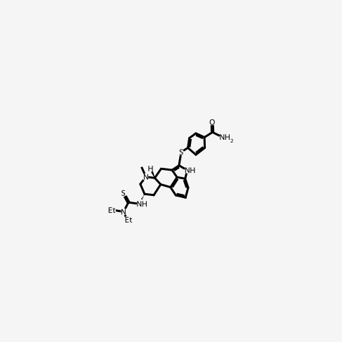 CCN(CC)C(=S)N[C@H]1CC2c3cccc4[nH]c(Sc5ccc(C(N)=O)cc5)c(c34)C[C@H]2N(C)C1